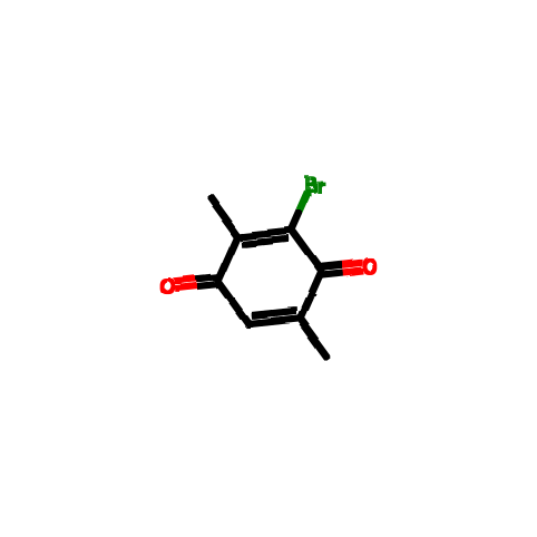 CC1=CC(=O)C(C)=C(Br)C1=O